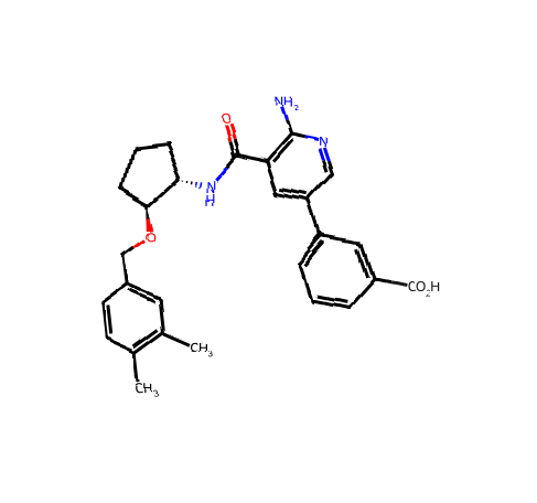 Cc1ccc(CO[C@H]2CCC[C@@H]2NC(=O)c2cc(-c3cccc(C(=O)O)c3)cnc2N)cc1C